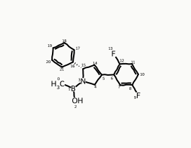 CB(O)N1CC(c2cc(F)ccc2F)=C[C@H]1c1ccccc1